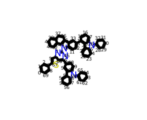 c1ccc(-c2cc3nc(-n4c5ccc(-c6cccc7c6c6ccccc6n7-c6ccccc6)cc5c5ccc6ccccc6c54)nc(-c4ccc5c(c4)c4ccccc4n5-c4ccccc4)c3s2)cc1